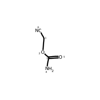 N#CCOC(N)=O